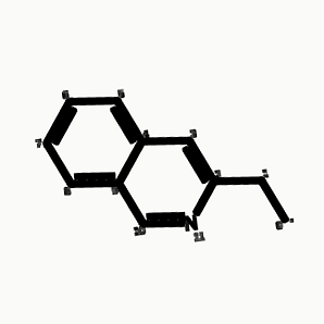 [CH2]Cc1cc2ccccc2cn1